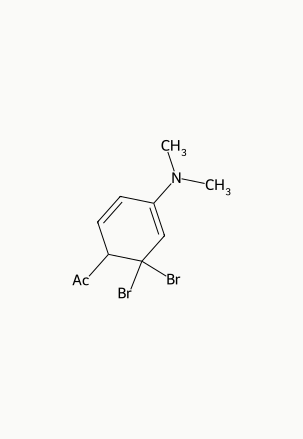 CC(=O)C1C=CC(N(C)C)=CC1(Br)Br